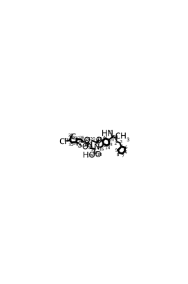 CN(CCc1ccccc1)C(=N)c1ccc(CN2C(=O)CN(S(=O)(=O)c3cc4ccc(Cl)cc4s3)C[C@@H]2C(=O)O)cc1